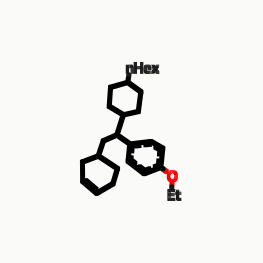 CCCCCCC1CCC(C(CC2CC=CCC2)c2ccc(OCC)cc2)CC1